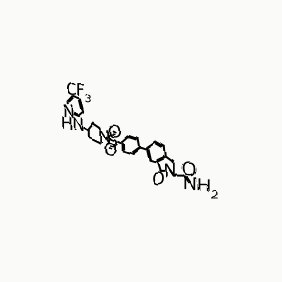 NC(=O)CN1Cc2ccc(-c3ccc(S(=O)(=O)N4CCC(Nc5ccc(C(F)(F)F)cn5)CC4)cc3)cc2C1=O